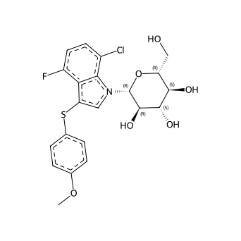 COc1ccc(Sc2cn([C@@H]3O[C@H](CO)[C@@H](O)[C@H](O)[C@H]3O)c3c(Cl)ccc(F)c23)cc1